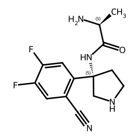 C[C@H](N)C(=O)N[C@]1(c2cc(F)c(F)cc2C#N)CCNC1